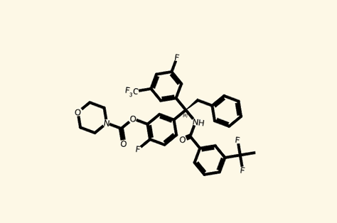 CC(F)(F)c1cccc(C(=O)N[C@@](Cc2ccccc2)(c2cc(F)cc(C(F)(F)F)c2)c2ccc(F)c(OC(=O)N3CCOCC3)c2)c1